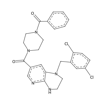 O=C(c1ccccc1)N1CCN(C(=O)c2cnc3c(c2)N(Cc2cc(Cl)ccc2Cl)CCN3)CC1